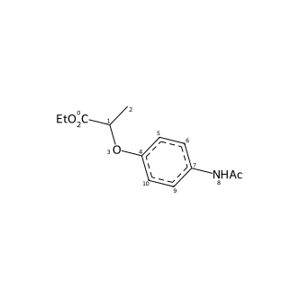 CCOC(=O)C(C)Oc1ccc(NC(C)=O)cc1